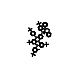 Cc1cc(C(C)(C)C)ccc1N1c2ccc(C(C)(C)C)cc2B2c3ccc(N4c5ccc(C(C)(C)C)cc5C5(c6ccccc6)CCc6ccccc6C45C)cc3N(c3ccc(C(C)(C)C)cc3)c3cc(C(C)(C)C)cc1c32